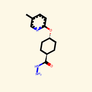 Cc1ccc(O[C@H]2CC[C@H](C(=O)NN)CC2)nc1